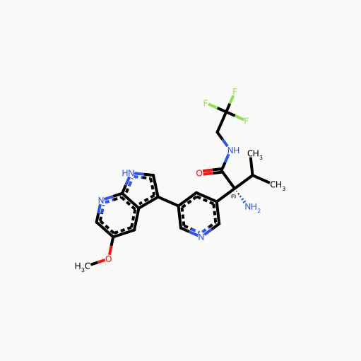 COc1cnc2[nH]cc(-c3cncc([C@@](N)(C(=O)NCC(F)(F)F)C(C)C)c3)c2c1